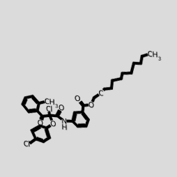 CCCCCCCCCCCCOC(=O)c1cccc(NC(=O)C(Cl)(Oc2ccc(Cl)cc2)C(=O)c2ccccc2C)c1